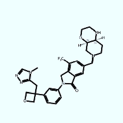 Cn1cnnc1CC1(c2cccc(N3Cc4c(cc(CN5CC[C@@H]6NCCO[C@@H]6C5)cc4C(F)(F)F)C3=O)c2)COC1